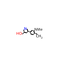 C=Cc1ccc(-c2cncc(CO)c2)cc1NC